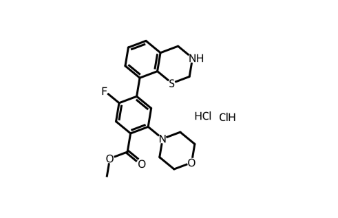 COC(=O)c1cc(F)c(-c2cccc3c2SCNC3)cc1N1CCOCC1.Cl.Cl